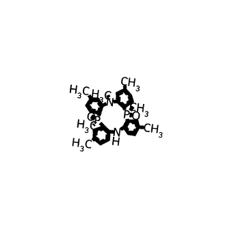 Cc1ccc2c(c1)N(C)c1cc(C)ccc1P(C)(=O)c1cc(C)ccc1Nc1ccc(C)cc1P2(C)=O